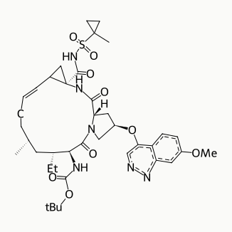 CC[C@@H]1C[C@H](C)CC/C=C\C2C[C@@]2(C(=O)NS(=O)(=O)C2(C)CC2)NC(=O)[C@@H]2C[C@@H](Oc3cnnc4cc(OC)ccc34)CN2C(=O)[C@H]1NC(=O)OC(C)(C)C